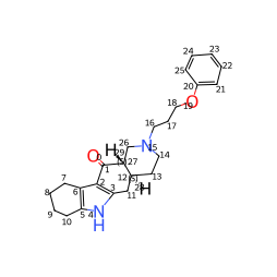 O=C1c2c([nH]c3c2CCCC3)C[C@@H]2CCN(CCCOc3ccccc3)C[C@@H]12